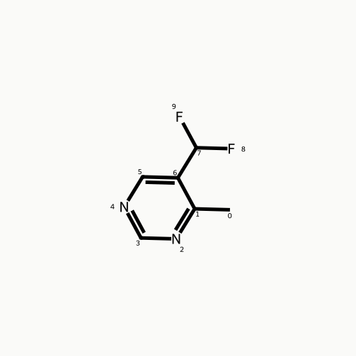 Cc1ncncc1C(F)F